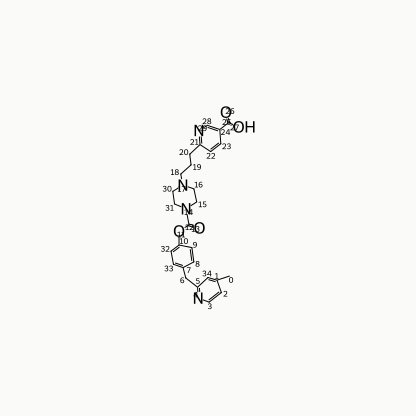 Cc1ccnc(Cc2ccc(OC(=O)N3CCN(CCCc4ccc(C(=O)O)cn4)CC3)cc2)c1